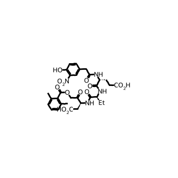 CC[C@H](NC(=O)[C@@H](CCC(=O)O)NC(=O)Cc1ccc(O)c([N+](=O)[O-])c1)C(=O)N[C@@H](CC(=O)O)C(=O)COC(=O)c1c(C)cccc1C